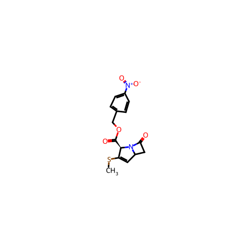 CSC1=CC2CC(=O)N2[C@@H]1C(=O)OCc1ccc([N+](=O)[O-])cc1